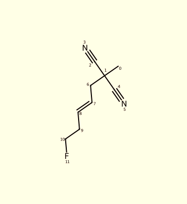 CC(C#N)(C#N)CC=CCCF